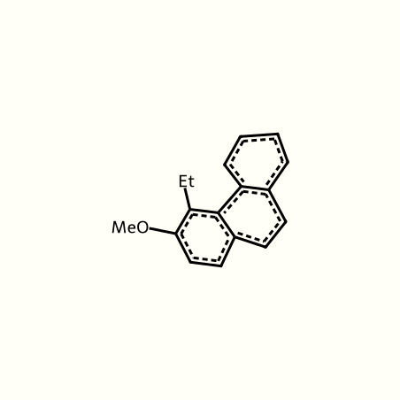 CCc1c(OC)ccc2ccc3ccccc3c12